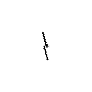 CCCCCCCCCCC(C)NC(C)CCCCCCCCCC